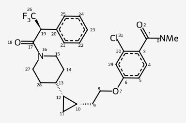 CNC(=O)c1ccc(OCC[C@@H]2C[C@@H]2C2CCN(C(=O)[C@H](c3ccccc3)C(F)(F)F)CC2)cc1Cl